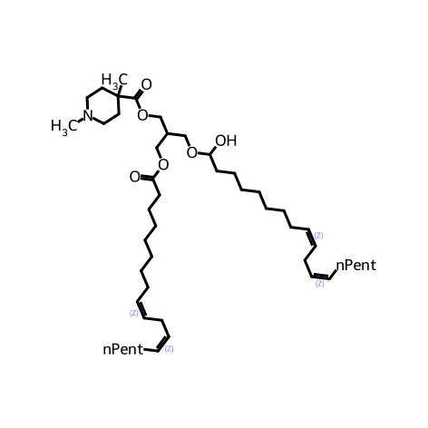 CCCCC/C=C\C/C=C\CCCCCCCC(=O)OCC(COC(=O)C1(C)CCN(C)CC1)COC(O)CCCCCCC/C=C\C/C=C\CCCCC